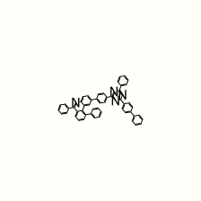 c1ccc(-c2ccc(-c3nc(-c4ccccc4)nc(-c4ccc(-c5ccc6nc(-c7ccccc7)c7cccc(-c8ccccc8)c7c6c5)cc4)n3)cc2)cc1